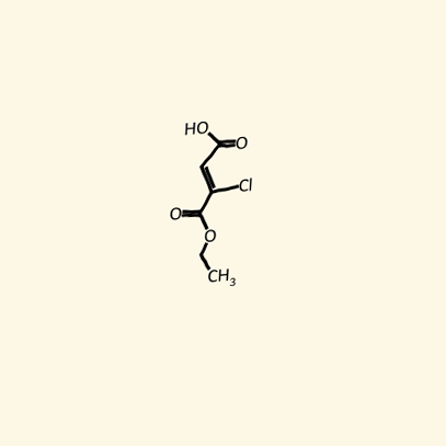 CCOC(=O)/C(Cl)=C/C(=O)O